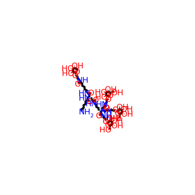 C[C@@H]1O[C@@H](OCCNC(=O)CCCCCNC(=O)[C@H](CCC(=O)NCCCC[C@@H](C(=O)NCCO[C@H]2O[C@H](CO)[C@@H](O)[C@H](O)[C@@H]2O)N(CC(=O)NCCO[C@H]2O[C@H](CO)[C@@H](O)[C@H](O)[C@@H]2O)CC(=O)NCCO[C@H]2O[C@H](CO)[C@@H](O)[C@H](O)[C@@H]2O)NC(=O)CCCCCN)[C@@H](O)[C@H](O)[C@@H]1O